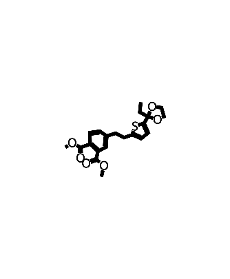 CCC1(c2ccc(CCc3ccc(C(=O)OC)c(C(=O)OC)c3)s2)OCCO1